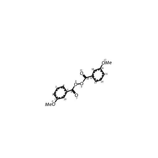 COc1cccc(C(=O)OOC(=O)c2cccc(OC)c2)c1